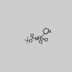 COC(=O)C(CNC(=O)OC(C)(C)C)c1cccnc1